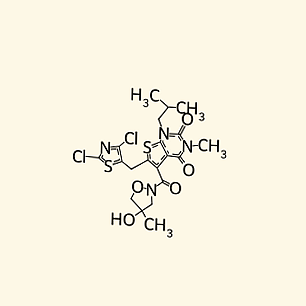 CC(C)Cn1c(=O)n(C)c(=O)c2c(C(=O)N3CC(C)(O)CO3)c(Cc3sc(Cl)nc3Cl)sc21